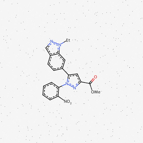 CCn1ncc2ccc(-c3cc(C(=O)OC)nn3-c3ccccc3[N+](=O)[O-])cc21